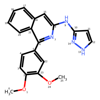 COc1ccc(-c2nc(Nc3cc[nH]n3)cc3ccccc23)cc1OC